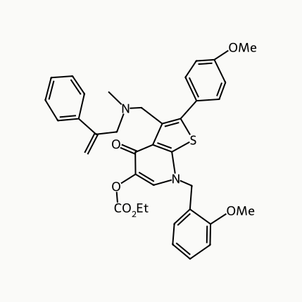 C=C(CN(C)Cc1c(-c2ccc(OC)cc2)sc2c1c(=O)c(OC(=O)OCC)cn2Cc1ccccc1OC)c1ccccc1